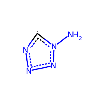 Nn1[c]nnn1